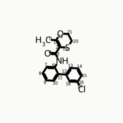 CC1=C(C(=O)Nc2ccccc2-c2cccc(Cl)c2)SCCO1